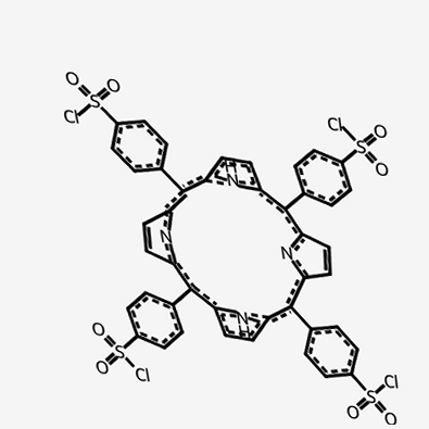 O=S(=O)(Cl)c1ccc(-c2c3nc(c(-c4ccc(S(=O)(=O)Cl)cc4)c4ccc([nH]4)c(-c4ccc(S(=O)(=O)Cl)cc4)c4nc(c(-c5ccc(S(=O)(=O)Cl)cc5)c5ccc2[nH]5)C=C4)C=C3)cc1